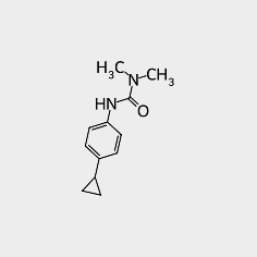 CN(C)C(=O)Nc1ccc(C2CC2)cc1